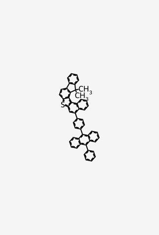 CC1(C)c2ccccc2-c2ccc3sc4cc(-c5ccc(-c6c7ccccc7c(-c7ccccc7)c7ccccc67)cc5)c5ccccc5c4c3c21